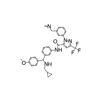 C=NCc1cccc(-n2nc(C(F)(F)F)cc2C(=O)Nc2cccc(C(NCC3CC3)c3ccc(OC)cc3)c2)c1